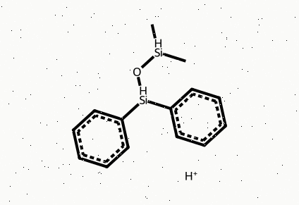 C[SiH](C)O[SiH](c1ccccc1)c1ccccc1.[H+]